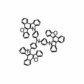 c1ccc2c(c1)oc1c3ccccc3c3c4ccccc4n(-c4ccc(N(c5ccc(-n6c7ccccc7c7c8ccccc8c8oc9ccccc9c8c76)cc5)c5ccc(-n6c7ccccc7c7c8ccccc8c8oc9ccccc9c8c76)cc5)cc4)c3c21